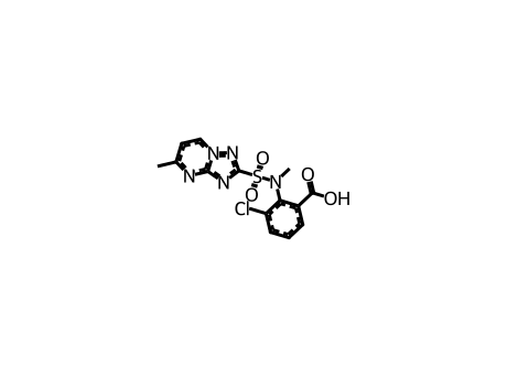 Cc1ccn2nc(S(=O)(=O)N(C)c3c(Cl)cccc3C(=O)O)nc2n1